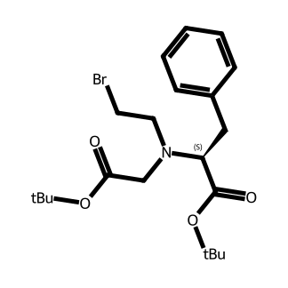 CC(C)(C)OC(=O)CN(CCBr)[C@@H](Cc1ccccc1)C(=O)OC(C)(C)C